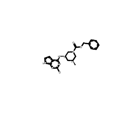 C[C@H]1C[C@@H](Nc2nc(Cl)nc3[nH]ccc23)CN(C(=O)OCc2ccccc2)C1